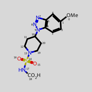 COc1ccc2c(c1)nnn2C1CCN(S(=O)(=O)NC(=O)O)CC1